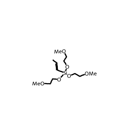 CC=C[Si](OCCOC)(OCCOC)OCCOC